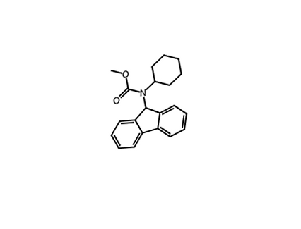 COC(=O)N(C1CCCCC1)C1c2ccccc2-c2ccccc21